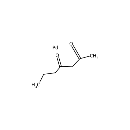 CCCC(=O)CC(C)=O.[Pd]